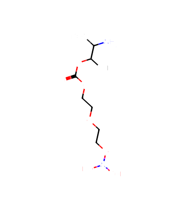 CC(OC(=O)OCCOCCON(O)O)C(N)C(=O)O